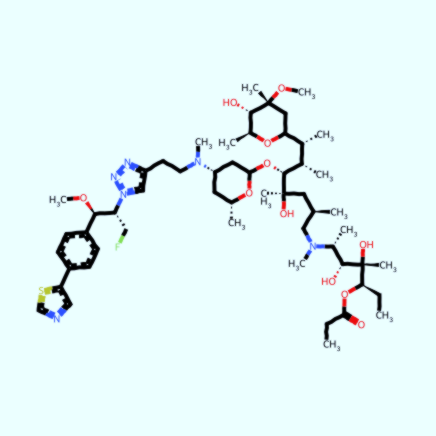 CCC(=O)O[C@H](CC)[C@@](C)(O)[C@H](O)[C@@H](C)N(C)C[C@H](C)C[C@@](C)(O)[C@H](OC1C[C@@H](N(C)CCc2cn([C@H](CF)[C@H](OC)c3ccc(-c4cncs4)cc3)nn2)C[C@@H](C)O1)[C@@H](C)[C@@H](C)C1C[C@@](C)(OC)[C@@H](O)[C@H](C)O1